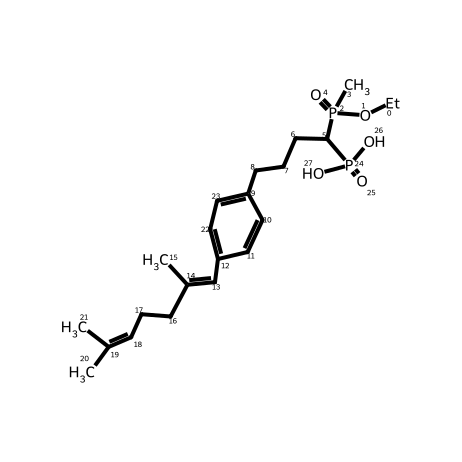 CCOP(C)(=O)C(CCCc1ccc(/C=C(\C)CCC=C(C)C)cc1)P(=O)(O)O